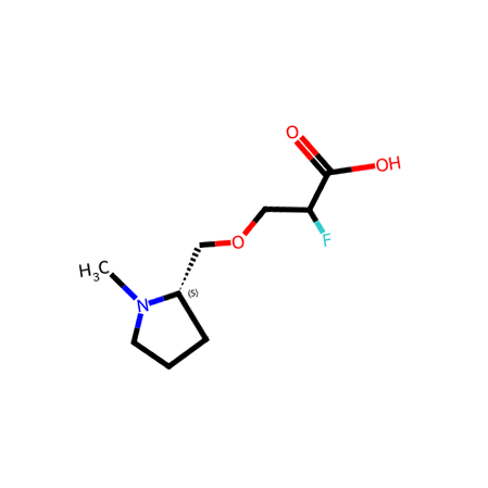 CN1CCC[C@H]1COCC(F)C(=O)O